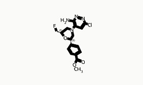 COC(=O)c1ccc([C@H]2CN(c3cc(Cl)nnc3N)C[C@@H](CF)O2)cc1